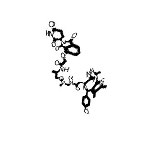 Cc1sc2c(c1C)C(c1ccc(Cl)cc1)=N[C@@H](CC(=O)NCP(C)OCC(C)NC(=O)COc1cccc3c1C(=O)N(C1CCC(=O)NC1=O)C3=O)c1nnc(C)n1-2